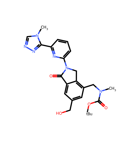 CN(Cc1cc(CO)cc2c1CN(c1cccc(-c3nncn3C)n1)C2=O)C(=O)OC(C)(C)C